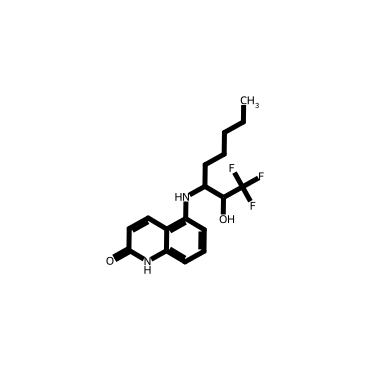 CCCCCC(Nc1cccc2[nH]c(=O)ccc12)C(O)C(F)(F)F